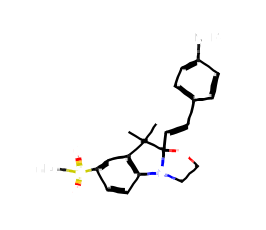 CCCCS(=O)(=O)c1ccc2c(c1)C(C)(C)C1(C=Cc3ccc(NC(C)=O)cc3)OCCN21